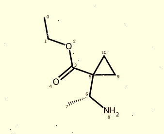 CCOC(=O)C1([C@@H](C)N)CC1